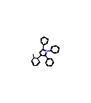 CC1C=CC=CC1c1cc(-c2ccccc2)n(-c2ccccc2)c1-c1ccccc1